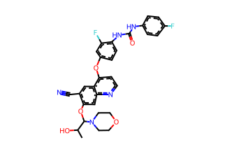 CC(O)C(Oc1cc2nccc(Oc3ccc(NC(=O)Nc4ccc(F)cc4)c(F)c3)c2cc1C#N)N1CCOCC1